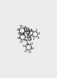 CC(C)(C)c1ccccc1[Si](OCc1ccccc1)(Oc1ccccc1)c1ccccc1